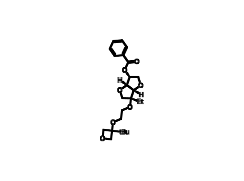 CC[C@@]1(OCCOC2(C(C)(C)C)COC2)CO[C@@H]2[C@@H](OC(=O)c3ccccc3)CO[C@@H]21